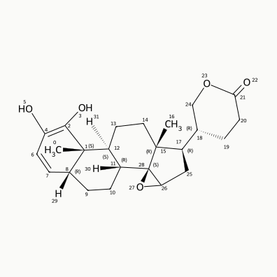 C[C@]12C(O)=C(O)C=C[C@H]1CC[C@@H]1[C@@H]2CC[C@]2(C)[C@@H]([C@H]3CCC(=O)OC3)CC3O[C@@]312